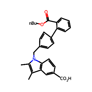 CCCCOC(=O)c1ccccc1-c1ccc(Cn2c(C)c(C)c3cc(C(=O)O)ccc32)cc1